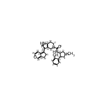 Cc1ccccc1C1CN(C)CC1NC(=O)N1CCc2[nH]nc(C3=C4C=COC=C4CC3)c2C1